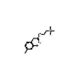 Cc1ccc(CC(=O)OCC[Si](C)(C)C)c(F)c1